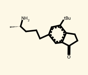 C[C@H](N)CCCc1cc2c(c(C(C)(C)C)c1)CCC2=O